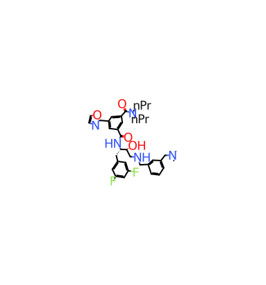 CCCN(CCC)C(=O)c1cc(C(=O)N[C@@H](Cc2cc(F)cc(F)c2)[C@H](O)CNCc2cccc(CN(C)C)c2)cc(-c2ncco2)c1